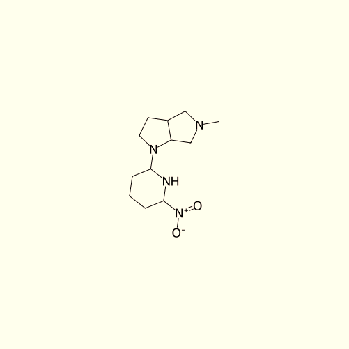 CN1CC2CCN(C3CCCC([N+](=O)[O-])N3)C2C1